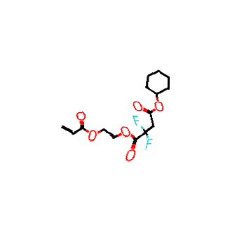 C=CC(=O)OCCOC(=O)C(F)(F)CC(=O)OC1CCCCC1